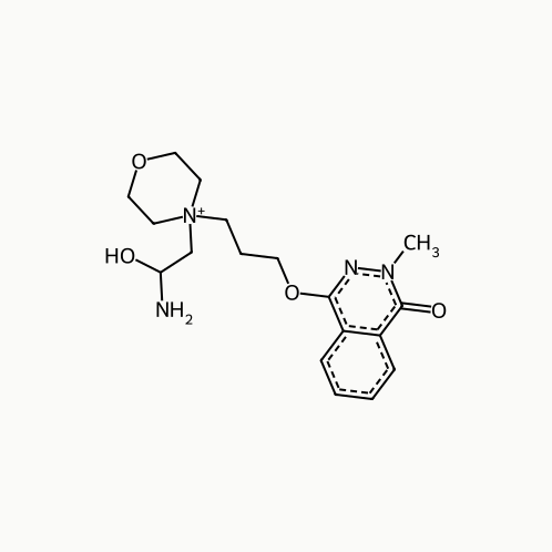 Cn1nc(OCCC[N+]2(CC(N)O)CCOCC2)c2ccccc2c1=O